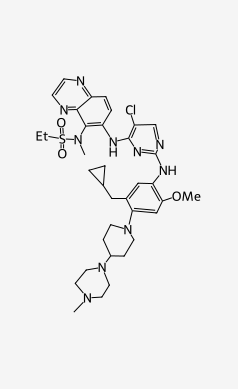 CCS(=O)(=O)N(C)c1c(Nc2nc(Nc3cc(CC4CC4)c(N4CCC(N5CCN(C)CC5)CC4)cc3OC)ncc2Cl)ccc2nccnc12